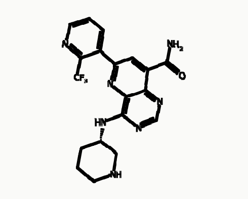 NC(=O)c1cc(-c2cccnc2C(F)(F)F)nc2c(N[C@H]3CCCNC3)ncnc12